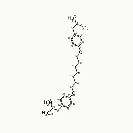 C[C@@H](N)Cc1ccc(OCCCCCCCOc2ccc(C[C@@H](C)N)cc2)cc1